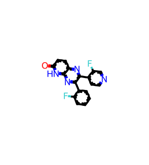 O=c1ccc2nc(-c3ccncc3F)c(-c3ccccc3F)nc2[nH]1